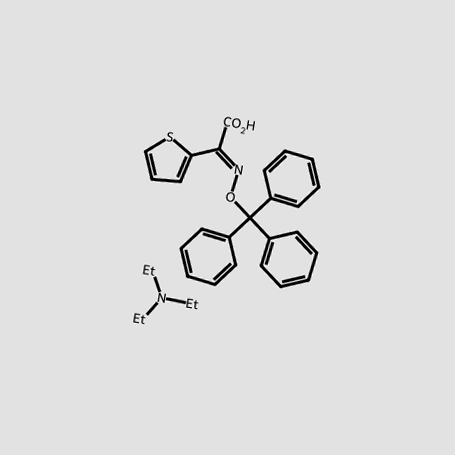 CCN(CC)CC.O=C(O)C(=NOC(c1ccccc1)(c1ccccc1)c1ccccc1)c1cccs1